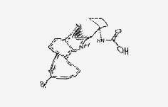 O=C(O)NC1(c2nc3ccc4cc(Br)ccc4c3[nH]2)CCC1